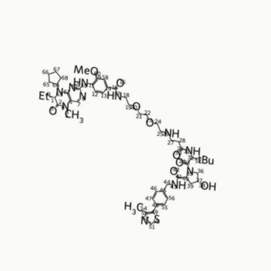 CC[C@@H]1C(=O)N(C)c2cnc(Nc3ccc(C(=O)NCCOCCOCCNCCC(=O)N[C@H](C(=O)N4C[C@H](O)C[C@H]4C(=O)NCc4ccc(-c5scnc5C)cc4)C(C)(C)C)cc3OC)nc2N1C1CCCC1